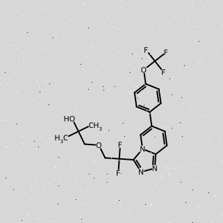 CC(C)(O)COCC(F)(F)c1nnc2ccc(-c3ccc(OC(F)(F)F)cc3)cn12